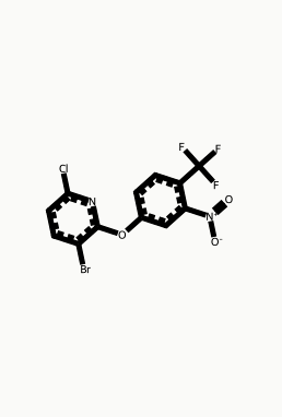 O=[N+]([O-])c1cc(Oc2nc(Cl)ccc2Br)ccc1C(F)(F)F